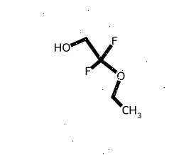 CCOC(F)(F)CO